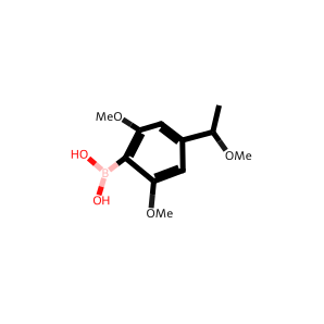 COc1cc(C(C)OC)cc(OC)c1B(O)O